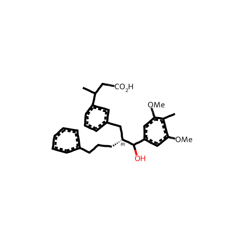 COc1cc(C(O)[C@H](CCCc2ccccc2)Cc2cccc(C(C)CC(=O)O)c2)cc(OC)c1C